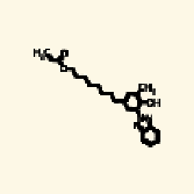 C=CC(=O)OCCCCCCCCc1cc(C)c(O)c(-n2nc3ccccc3n2)c1